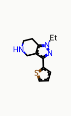 CCn1nc(-c2cccs2)c2c1CCNC2